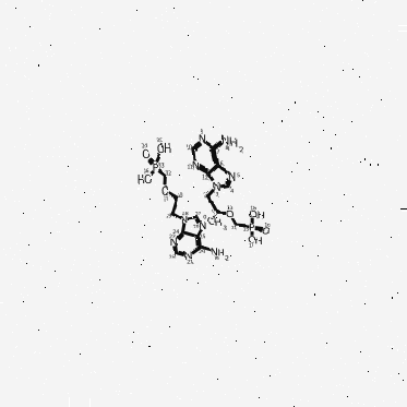 C[C@H](Cn1cnc2c(N)ncnc21)OCP(=O)(O)O.Nc1ncnc2c1ncn2CCOCP(=O)(O)O